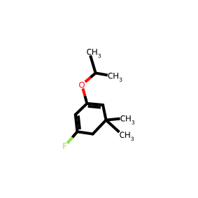 CC(C)OC1=CC(C)(C)CC(F)=C1